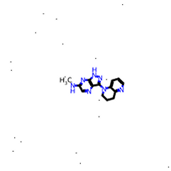 CNc1cnc2c(N3CCCc4ncccc43)n[nH]c2n1